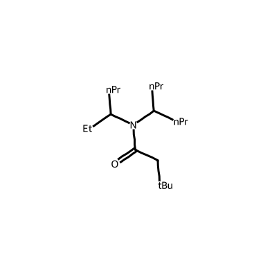 CCCC(CC)N(C(=O)CC(C)(C)C)C(CCC)CCC